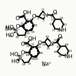 O=C(O)c1c(OC2CN(C(=O)C3CCNCC3)C2)ccc2c1O[B-](O)(O)CC2.O=C(O)c1c(OC2CN(C(=O)C3CCNCC3)C2)ccc2c1O[B-](O)(O)CC2.[Na+].[Na+]